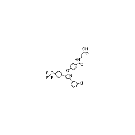 O=C(O)CCNC(=O)c1ccc(Oc2nn(-c3cccc(Cl)c3)cc2-c2ccc(OC(F)(F)F)cc2)cc1